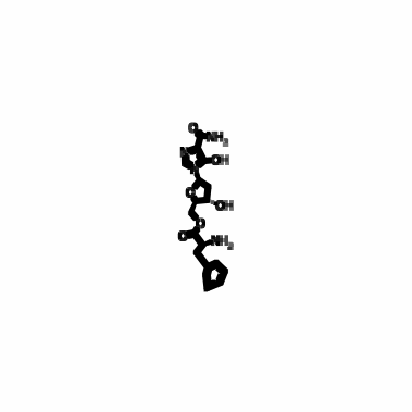 NC(=O)c1ncn([C@H]2C[C@H](O)[C@@H](COC(=O)[C@@H](N)Cc3ccccc3)O2)c1O